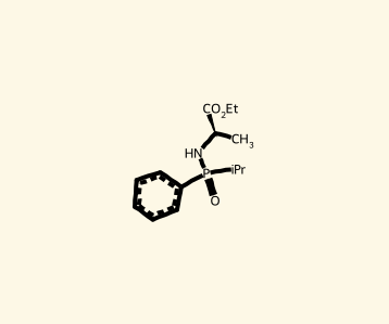 CCOC(=O)[C@@H](C)NP(=O)(c1ccccc1)C(C)C